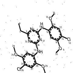 CCc1nc(Nc2cc(OC)c(Cl)cc2OC)nc(Nc2cc(OC)c(Cl)cc2OC)n1